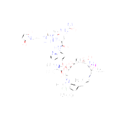 COc1cc2cc(c1Cl)N(C)CC[C@H](OC(=O)[C@H](C)N(C)C(=O)c1ccc(NC(=O)[C@H](CCCNC(N)=O)NC(=O)[C@@H](NC(=S)NCCCCN3C(=O)C=CC3=O)C(C)C)c3ncccc13)[C@]1(C)O[C@H]1[C@H](C)[C@@H]1C[C@@](O)(NC(=O)O1)[C@H](OC)/C=C/C=C(\C)C2